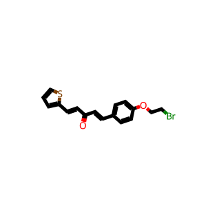 O=C(C=Cc1ccc(OCCBr)cc1)C=Cc1cccs1